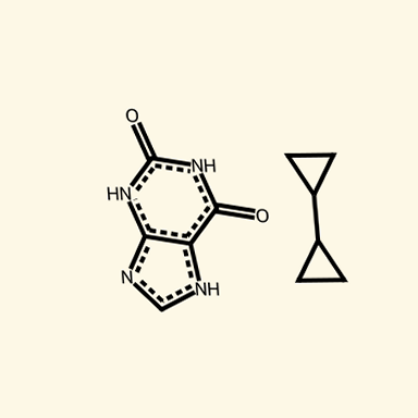 C1CC1C1CC1.O=c1[nH]c(=O)c2[nH]cnc2[nH]1